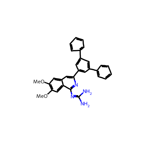 COc1cc2cc(-c3cc(-c4ccccc4)cc(-c4ccccc4)c3)nc(N=C(N)N)c2cc1OC